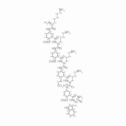 COc1ccc(NC(=O)[C@H](CCCCN)NC(=O)c2cc(NC(=O)[C@H](CCCCN)NC(=O)c3cc(NC(=O)[C@H](CCCCN)NC(=O)c4cc(NC(=O)[C@@H](N)CCCCCN)ccc4OC)ccc3OC)ccc2OCC(=O)O)cc1C(=O)N[C@@H](Cc1c[nH]c2ccccc12)C(N)=O